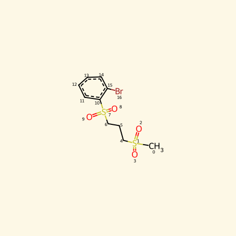 CS(=O)(=O)CCCS(=O)(=O)c1ccccc1Br